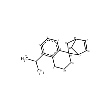 CC(C)c1cccc2c1CCCC21CC2C=CC1C2